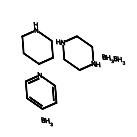 B.B.B.C1CCNCC1.C1CNCCN1.c1ccncc1